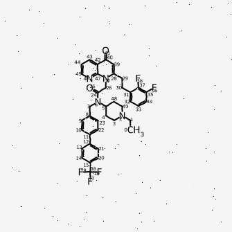 CCN1CCC(N(Cc2ccc(-c3ccc(C(F)(F)F)cc3)cc2)C(=O)Cn2c(CCc3cccc(F)c3F)cc(=O)c3cccnc32)CC1